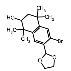 CC1(C)CC(O)C(C)(C)c2cc(C3OCCO3)c(Br)cc21